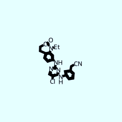 CCN1C(=O)CCCc2ccc(Nc3ncc(Cl)c(Nc4cccc(CC#N)c4)n3)cc21